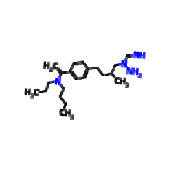 C=C(c1ccc(CCC(C)CN(N)C=N)cc1)N(CCC)CCCC